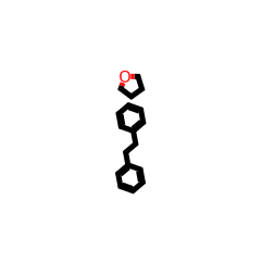 C1CCOC1.c1ccc(CCc2ccccc2)cc1